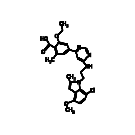 CCOc1cc(-c2cc(NCCn3c(C)cc4c(OC)ccc(Cl)c43)ncn2)cc(C)c1C(=O)O